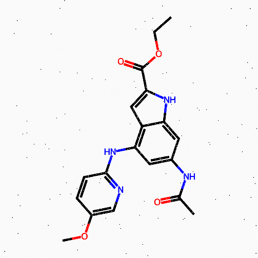 CCOC(=O)c1cc2c(Nc3ccc(OC)cn3)cc(NC(C)=O)cc2[nH]1